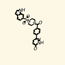 O=C(c1ccc(-c2ccc(=O)[nH]n2)cc1)N1CCN(S(=O)(=O)c2ccc3cc[nH]c3c2)CC1